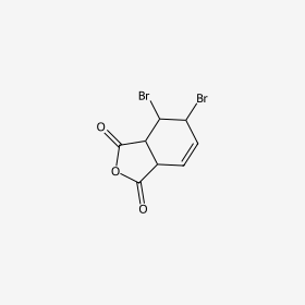 O=C1OC(=O)C2C1C=CC(Br)C2Br